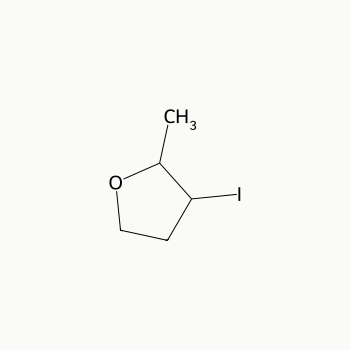 CC1OCCC1I